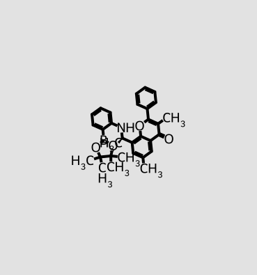 Cc1cc([C@@H](C)Nc2ccccc2B2OC(C)(C)C(C)(C)O2)c2oc(-c3ccccc3)c(C)c(=O)c2c1